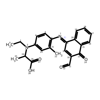 CCN(c1ccc(/N=C2\C=C(C=O)C(=O)c3ccccc32)c(C)c1)C(C)C(=O)O